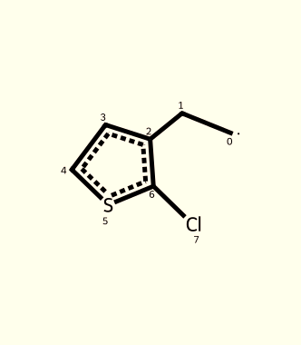 [CH2]Cc1ccsc1Cl